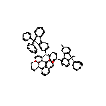 CC1C=CC2=C(C1)c1c(-c3ccc(N(C4=CCC5C(=C4)C(c4ccccc4)(c4ccccc4)c4ccccc45)c4ccccc4-c4cccc5cccc(C6CCCCC6)c45)cc3)cccc1C2(C)c1ccccc1